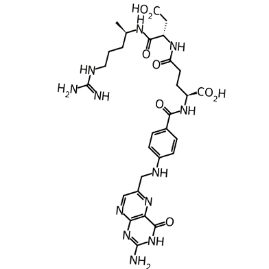 C[C@H](CCCNC(=N)N)NC(=O)[C@H](CC(=O)O)NC(=O)CC[C@H](NC(=O)c1ccc(NCc2cnc3nc(N)[nH]c(=O)c3n2)cc1)C(=O)O